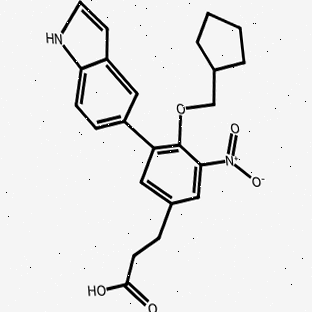 O=C(O)CCc1cc(-c2ccc3[nH]ccc3c2)c(OCC2CCCC2)c([N+](=O)[O-])c1